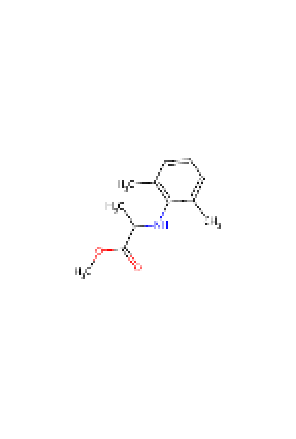 COC(=O)C(C)Nc1c(C)cccc1C